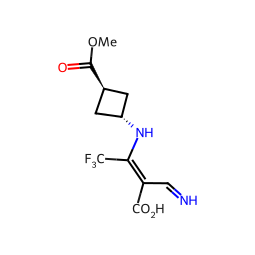 COC(=O)[C@H]1C[C@H](N/C(=C(\C=N)C(=O)O)C(F)(F)F)C1